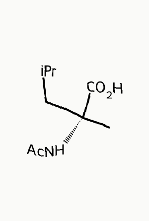 CC(=O)N[C@](C)(CC(C)C)C(=O)O